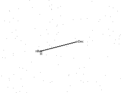 CCCCCCCCCCCCCCCCCCCCCCCCCCCCCCCCCCCCCCCCCCCCCCNCCCC